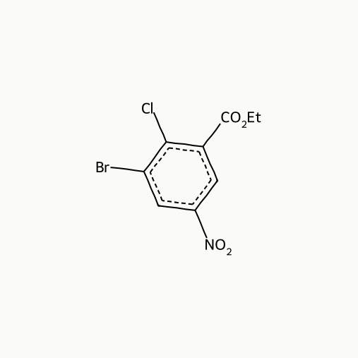 CCOC(=O)c1cc([N+](=O)[O-])cc(Br)c1Cl